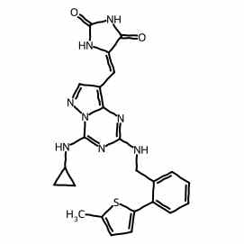 Cc1ccc(-c2ccccc2CNc2nc(NC3CC3)n3ncc(/C=C4\NC(=O)NC4=O)c3n2)s1